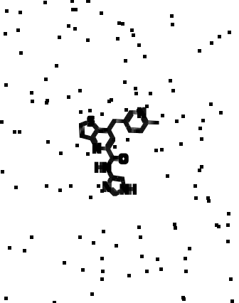 Cc1ccc(Cc2cc(C(=O)Nc3c[nH]cn3)nc3ccsc23)cn1